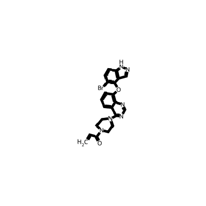 C=CC(=O)N1CCN(c2ncnc3c(Oc4c(Br)ccc5[nH]ncc45)cccc23)CC1